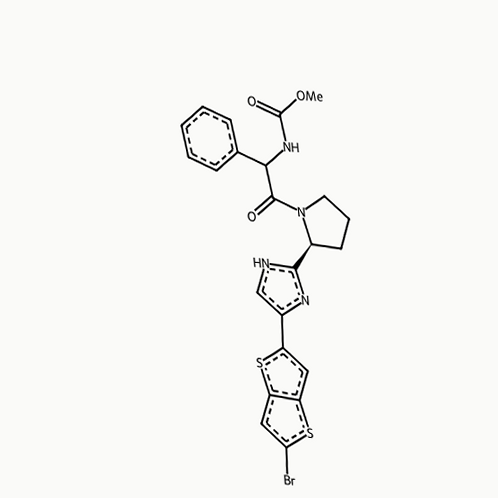 COC(=O)NC(C(=O)N1CCC[C@H]1c1nc(-c2cc3sc(Br)cc3s2)c[nH]1)c1ccccc1